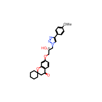 COc1ccc(-c2cn(C[C@@H](O)COc3ccc4c(c3)OC3(CCCCC3)CC4=O)nn2)cc1